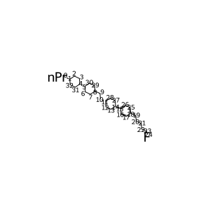 CCC[C@H]1CC[C@H](C2CCC(CC[C@H]3CC[C@H](c4ccc(CCCCCF)cc4)CC3)CC2)CC1